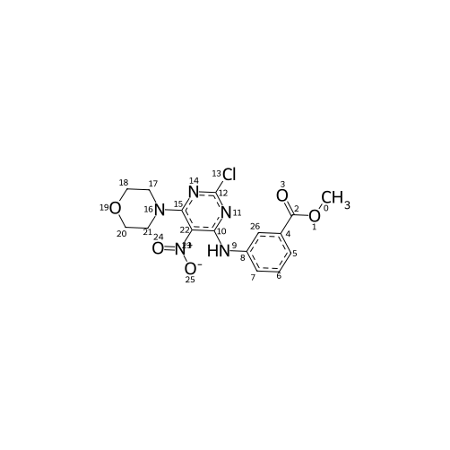 COC(=O)c1cccc(Nc2nc(Cl)nc(N3CCOCC3)c2[N+](=O)[O-])c1